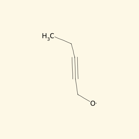 CCC#CC[O]